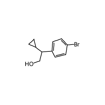 OCC(c1ccc(Br)cc1)C1CC1